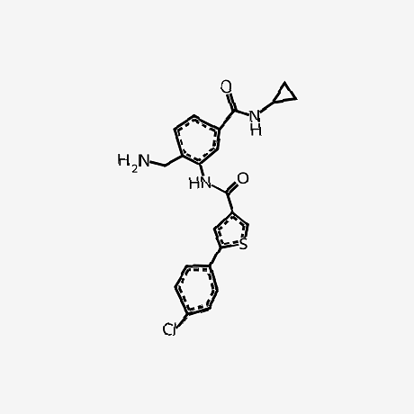 NCc1ccc(C(=O)NC2CC2)cc1NC(=O)c1csc(-c2ccc(Cl)cc2)c1